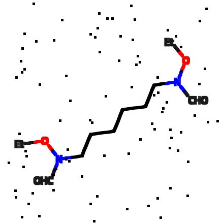 CCON(C=O)CCCCCCN(C=O)OCC